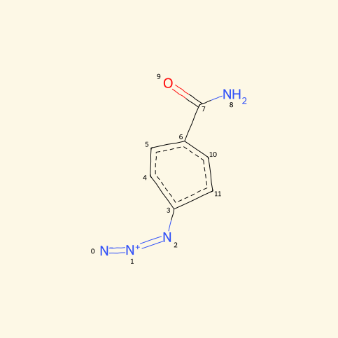 [N-]=[N+]=Nc1ccc(C(N)=O)cc1